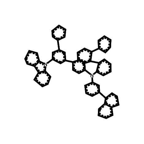 c1ccc(-c2cc(-c3ccc(N(c4cccc(-c5cccc6ccccc56)c4)c4ccccc4-c4ccccc4-c4ccccc4)cc3)cc(-n3c4ccccc4c4ccccc43)c2)cc1